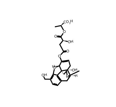 C[C@H](OC(=O)[C@@H](O)CC(=O)OC1=CC[C@@]2(O)[C@H]3Cc4ccc(CO)c5c4[C@@]2(CCN3C)[C@H]1O5)C(=O)O